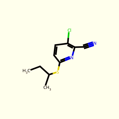 CCC(C)Sc1ccc(Cl)c(C#N)n1